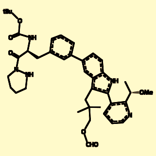 CO[C@@H](C)c1ncccc1-c1[nH]c2ccc(-c3cccc(C[C@H](NC(=O)OC(C)(C)C)C(=O)N4CCCCN4)c3)cc2c1CC(C)(C)COC=O